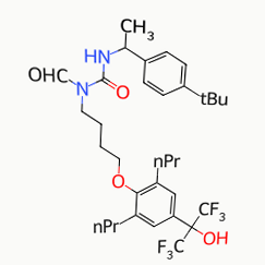 CCCc1cc(C(O)(C(F)(F)F)C(F)(F)F)cc(CCC)c1OCCCCN(C=O)C(=O)NC(C)c1ccc(C(C)(C)C)cc1